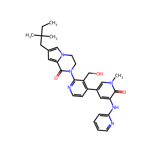 CCC(C)(C)Cc1cc2n(c1)CCN(c1nccc(-c3cc(Nc4ccccn4)c(=O)n(C)c3)c1CO)C2=O